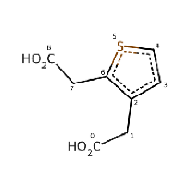 O=C(O)Cc1ccsc1CC(=O)O